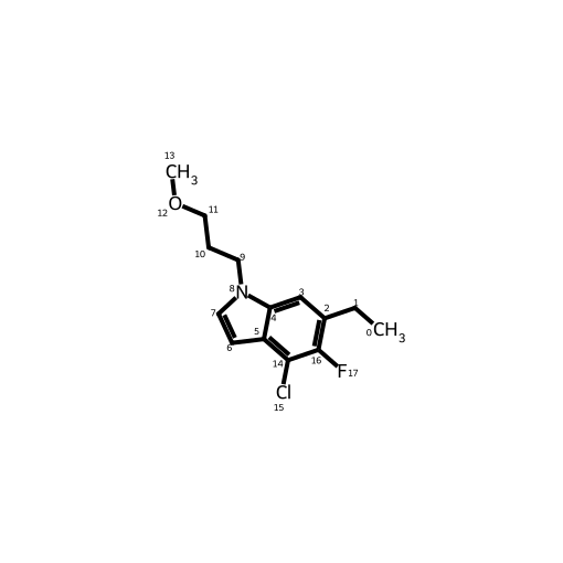 CCc1cc2c(ccn2CCCOC)c(Cl)c1F